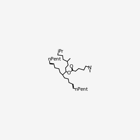 CCCCCC=CCCCC(CCCC=CCCCCC)C(CCC(C)CCCC(C)C)OC(=O)CCCCN(C)C